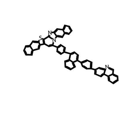 c1ccc2cc3c(cc2c1)nc1c2sc4cc5ccccc5cc4c2cc(-c2ccc(-c4ccc(-c5ccc(-c6ccc7c(c6)ncc6ccccc67)cc5)c5ccccc45)cc2)n31